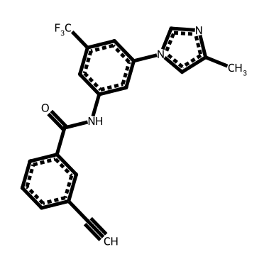 C#Cc1cccc(C(=O)Nc2cc(-n3cnc(C)c3)cc(C(F)(F)F)c2)c1